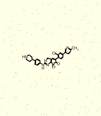 CCn1c(=O)c(-c2ccc(-c3ccc(C)nc3)cc2Cl)cc2cnc(Nc3ccc(C4CCNCC4)cc3)nc21